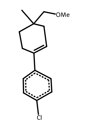 COCC1(C)CC=C(c2ccc(Cl)cc2)CC1